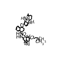 CN(C)CCOc1cccc(N/C(=C\C(=N)C(C)(C)C)NC(=O)N[C@H]2CC[C@@H](Oc3ccc(=N)n(C(=N)N4CCCCC45CC5)c3)c3ccccc32)c1